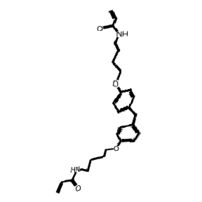 C=CC(=O)NCCCCOc1ccc(Cc2ccc(OCCCCNC(=O)C=C)cc2)cc1